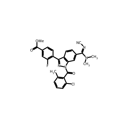 COC(=O)c1ccc(-c2nn(C(=O)c3c(C)cccc3Cl)c3cc(/C(=N\C#N)N(C)C)ccc23)c(F)c1